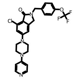 O=C1c2c(Cl)cc(N3CCN(c4ccncc4)CC3)cc2CN1Cc1ccc(OC(F)(F)F)cc1